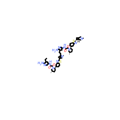 CCc1cc(NC(=O)C(=O)N2C[C@@H](C)CC[C@@H]2c2ccc3sc(C45CN(C)C(CCc6cc(NC(=O)C(=O)N7C[C@@H](C)CC[C@@H]7c7ccc8sc([C@@H]9C=C%10CN(C)C[C@H]%109)nc8c7)cnc6N)(C4)C5)nc3c2)cnc1N